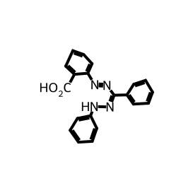 O=C(O)c1ccccc1N=NC(=NNc1ccccc1)c1ccccc1